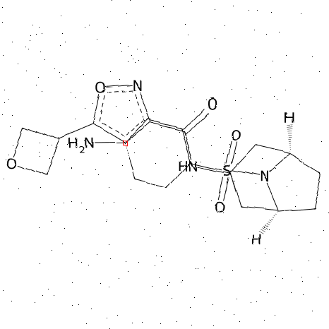 NC1CCC(S(=O)(=O)N2[C@@H]3CC[C@H]2CC(NC(=O)c2cc(C4COC4)on2)C3)CC1